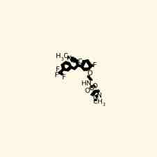 CN1C2C1C21Cc2cc(F)c(OCCNS(=O)(=O)c3cnn(C)c3)cc2C1Cc1cccc(C(F)(F)F)c1